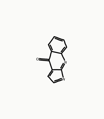 O=C1C2=CC=NC2=Nc2ccccc21